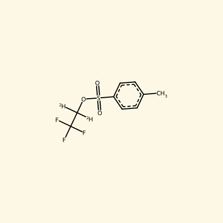 [2H]C([2H])(OS(=O)(=O)c1ccc(C)cc1)C(F)(F)F